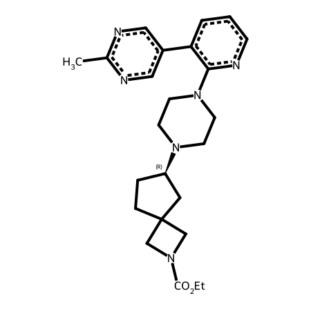 CCOC(=O)N1CC2(CC[C@@H](N3CCN(c4ncccc4-c4cnc(C)nc4)CC3)C2)C1